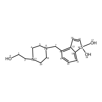 OCCN1CCN(Cc2cccc3c2C=CS3(O)O)CC1